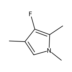 Cc1cn(C)c(C)c1F